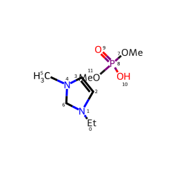 CCN1C=CN(C)C1.COP(=O)(O)OC